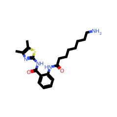 Cc1nc(NC(=O)c2ccccc2NC(=O)CCCCCCCN)sc1C